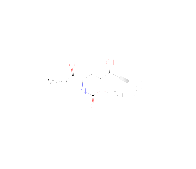 COC(=O)C(CCC(O)C#C[Si](C)(C)C)NC(=O)OC(C)(C)C